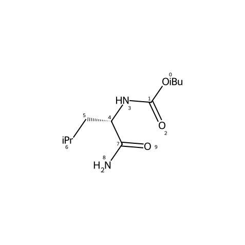 CC(C)COC(=O)N[C@@H](CC(C)C)C(N)=O